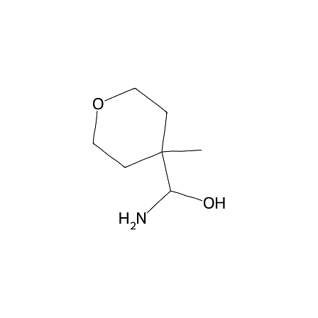 CC1(C(N)O)CCOCC1